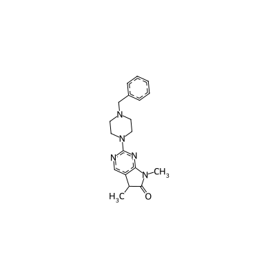 CC1C(=O)N(C)c2nc(N3CCN(Cc4ccccc4)CC3)ncc21